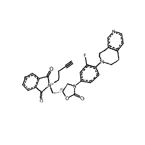 C#CCC[N+]1(C[C@@H]2CN(c3ccc(N4CCc5ccncc5C4)c(F)c3)C(=O)O2)C(=O)c2ccccc2C1=O